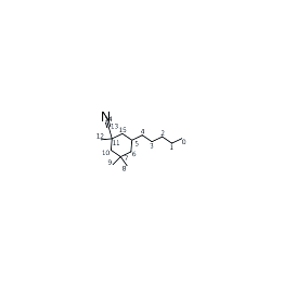 CCCCCC1CC(C)(C)CC(C)(C#N)C1